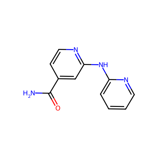 NC(=O)c1ccnc(Nc2ccccn2)c1